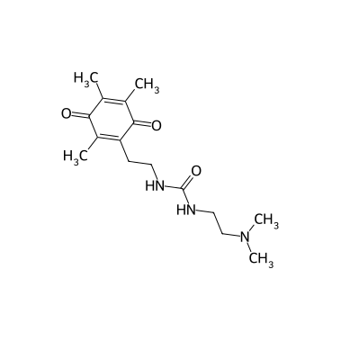 CC1=C(C)C(=O)C(CCNC(=O)NCCN(C)C)=C(C)C1=O